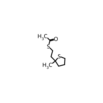 CC(=O)SCCC1(C)CCCS1